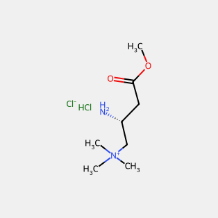 COC(=O)C[C@@H](N)C[N+](C)(C)C.Cl.[Cl-]